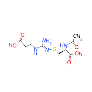 CC(=O)N[C@H](CS/N=C(\N)NCCC(=O)O)C(=O)O